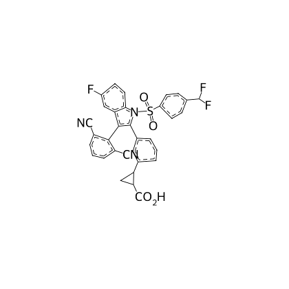 N#Cc1cccc(C#N)c1-c1c(-c2cccc(C3CC3C(=O)O)c2)n(S(=O)(=O)c2ccc(C(F)F)cc2)c2ccc(F)cc12